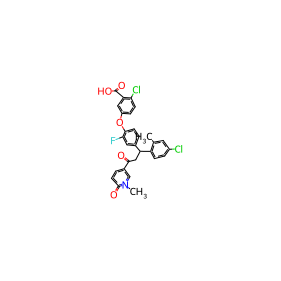 Cc1cc(Cl)ccc1C(CC(=O)c1ccc(=O)n(C)c1)c1ccc(Oc2ccc(Cl)c(C(=O)O)c2)c(F)c1